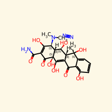 CN(C)[C@@H]1C(O)=C(C(N)=O)C(=O)[C@@]2(O)C(O)=C3C(=O)c4c(O)cccc4[C@@](C)(O)[C@H]3[C@H](O)[C@@H]12.N#N